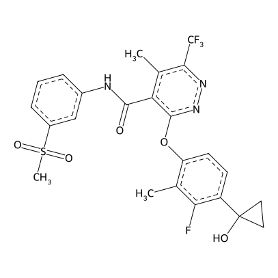 Cc1c(Oc2nnc(C(F)(F)F)c(C)c2C(=O)Nc2cccc(S(C)(=O)=O)c2)ccc(C2(O)CC2)c1F